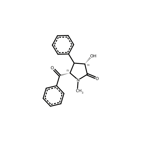 CN1C(=O)[C@@H](O)C(c2ccccc2)[C@H]1C(=O)c1ccccc1